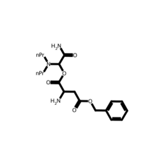 CCCN(CCC)C(OC(=O)C(N)CC(=O)OCc1ccccc1)C(N)=O